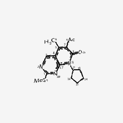 CSc1ncc2c(C)c(C(C)=O)c(=O)n(C3CCCC3)c2n1